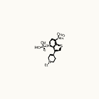 CCN1CC=C(c2csc3c(NC=O)cccc23)CC1.O=P(O)(O)O